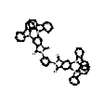 O=C1c2cc(-n3c4ccccc4c4ccccc43)c(-n3c4ccccc4c4ccccc43)cc2C(=O)N1c1cccc(N2C(=O)c3cc(-n4c5ccccc5c5ccccc54)c(-n4c5ccccc5c5ccccc54)cc3C2=O)c1